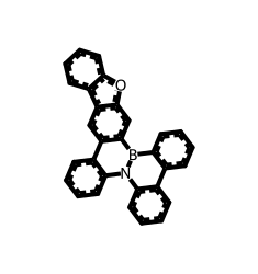 c1ccc2c(c1)B1c3cc4oc5ccccc5c4cc3-c3ccccc3N1c1ccccc1-2